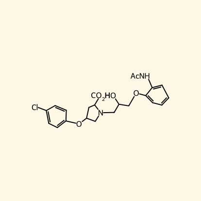 CC(=O)Nc1ccccc1OCC(O)CN1CC(Oc2ccc(Cl)cc2)CC1C(=O)O